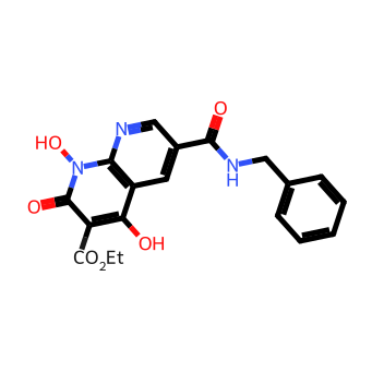 CCOC(=O)c1c(O)c2cc(C(=O)NCc3ccccc3)cnc2n(O)c1=O